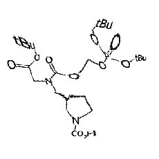 CC(C)(C)OC(=O)CN(CC1CCN1C(=O)O)C(=O)OCOP(=O)(OC(C)(C)C)OC(C)(C)C